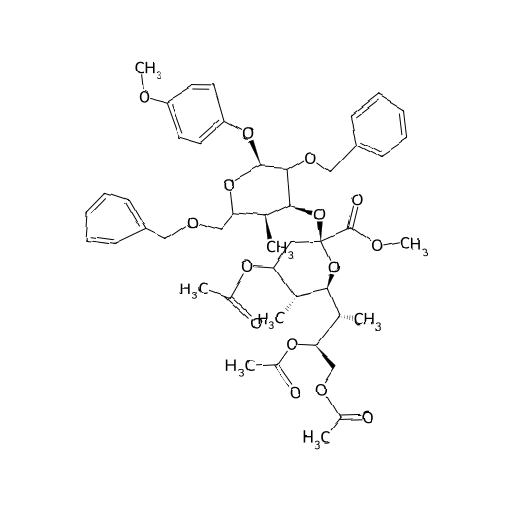 COC(=O)[C@@]1(O[C@@H]2C(OCc3ccccc3)[C@H](Oc3ccc(OC)cc3)OC(COCc3ccccc3)[C@@H]2C)CC(OC(C)=O)[C@@H](C)[C@H]([C@H](C)[C@@H](COC(C)=O)OC(C)=O)O1